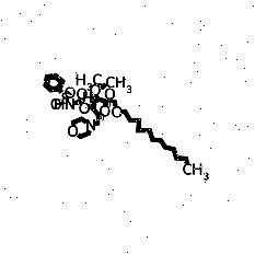 CCCCCCCCCCCCOC[C@@]12O[C@@H](CN3CCOCC3)[C@@H](OC(=O)NS(=O)(=O)c3ccccc3)[C@@H]1OC(C)(C)O2